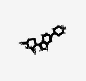 O=C1CCC(c2noc3cc(C4CCNCC4)ccc23)C(=O)N1